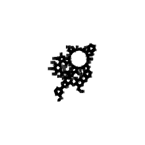 COc1cccc(C2OC3C(OC4C(CO)OC(Oc5ccc(CC6NC(=O)C(C)N(c7ccccc7C)C(=O)CNC(=O)C(CO)NC(=O)C(C(O)C7CNC(=N)N7C7OC(CO)C(O)C(O)C7O)NC(=O)C(C(O)C7CNC(=N)N7)NC6=O)cc5)C(O)C4O)OC(CO)C(O)C3O2)c1